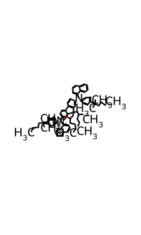 CCCCC(CC)CC1(CC(CC)CCCC)c2cc(N(c3ccc(C(C)(C)CCCC)cc3)c3cccc4ccccc34)ccc2-c2ccc(N(c3ccc(C(C)(C)CCCC)cc3)c3cccc4ccccc34)cc21